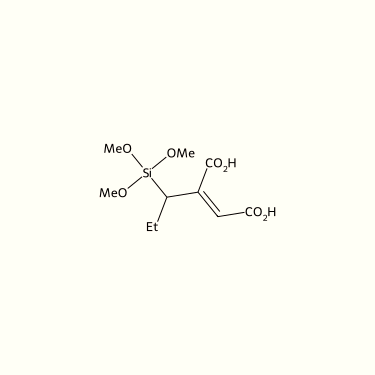 CCC(C(=CC(=O)O)C(=O)O)[Si](OC)(OC)OC